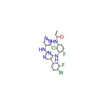 C=CC(=O)Nc1ccc(F)c(Nc2nc(Nc3cn(C)nc3Cl)ncc2-c2ccc(Br)c(F)c2)c1